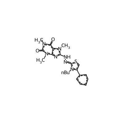 CCCCn1c(-c2ccccc2)csc1=NNc1nc2c(c(=O)n(C)c(=O)n2C)n1C